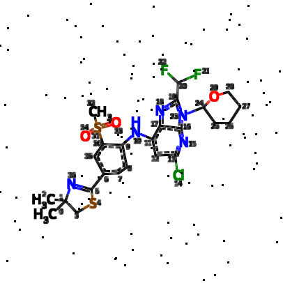 CC1(C)CSC(c2ccc(Nc3cc(Cl)nc4c3nc(C(F)F)n4C3CCCCO3)c(S(C)(=O)=O)c2)=N1